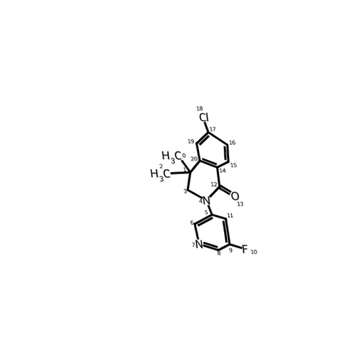 CC1(C)CN(c2cncc(F)c2)C(=O)c2ccc(Cl)cc21